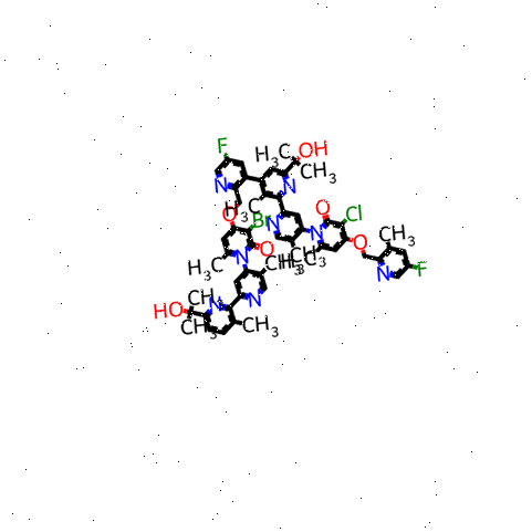 Cc1cnc(-c2nc(C(C)(C)O)cc(-c3cc(F)cnc3COc3cc(C)n(-c4cc(-c5nc(C(C)(C)O)ccc5C)ncc4C)c(=O)c3Br)c2C)cc1-n1c(C)cc(OCc2ncc(F)cc2C)c(Cl)c1=O